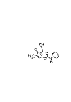 C#CCN1C(=O)C(C)=CC1OC(=O)Nc1ccccc1